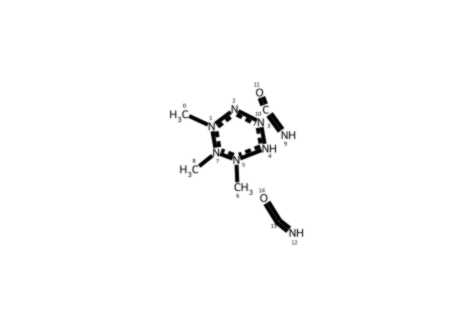 Cn1nn[nH]n(C)n1C.N=C=O.N=C=O